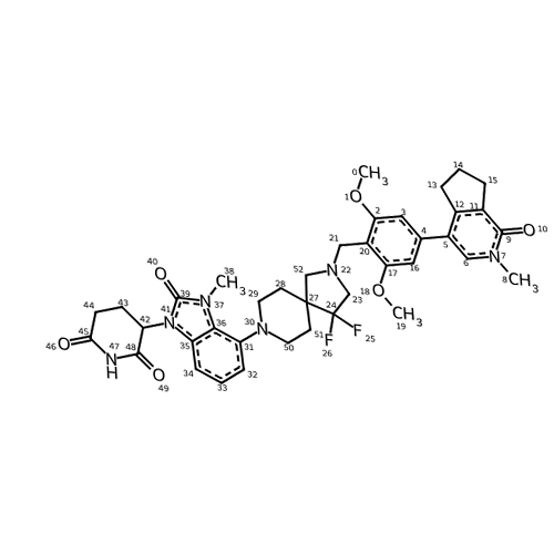 COc1cc(-c2cn(C)c(=O)c3c2CCC3)cc(OC)c1CN1CC(F)(F)C2(CCN(c3cccc4c3n(C)c(=O)n4C3CCC(=O)NC3=O)CC2)C1